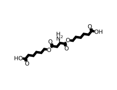 N[C@@H](CC(=O)OCCCCCC(=O)O)C(=O)OCCCCCC(=O)O